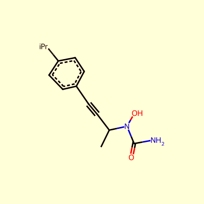 CC(C)c1ccc(C#CC(C)N(O)C(N)=O)cc1